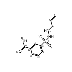 C=CCNNS(=O)(=O)c1cccc(C(=O)O)c1